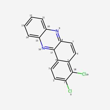 Clc1ccc2c(ccc3nc4ccccc4nc32)c1Cl